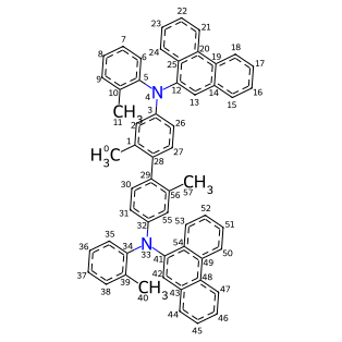 Cc1cc(N(c2ccccc2C)c2cc3ccccc3c3ccccc23)ccc1-c1ccc(N(c2ccccc2C)c2cc3ccccc3c3ccccc23)cc1C